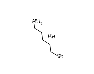 CC(C)CCCC[CH2][AlH2].[HH]